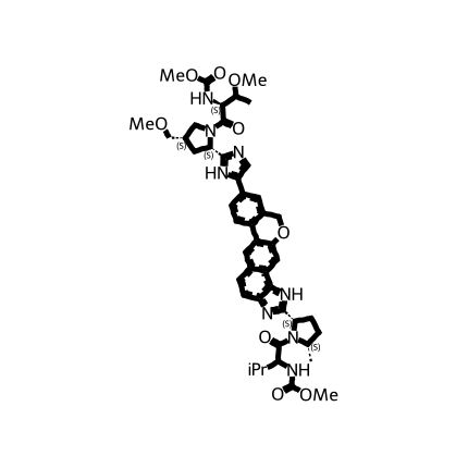 COC[C@H]1C[C@@H](c2ncc(-c3ccc4c(c3)COc3cc5c(ccc6nc([C@@H]7CC[C@H](C)N7C(=O)C(NC(=O)OC)C(C)C)[nH]c65)cc3-4)[nH]2)N(C(=O)[C@@H](NC(=O)OC)C(C)OC)C1